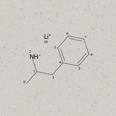 CC([NH-])Cc1ccccc1.[Li+]